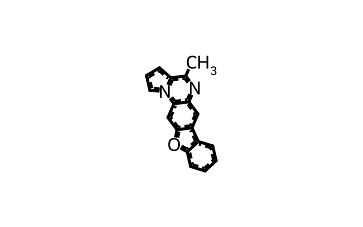 Cc1nc2cc3c(cc2n2cccc12)oc1ccccc13